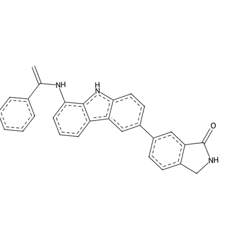 C=C(Nc1cccc2c1[nH]c1ccc(-c3ccc4c(c3)C(=O)NC4)cc12)c1ccccc1